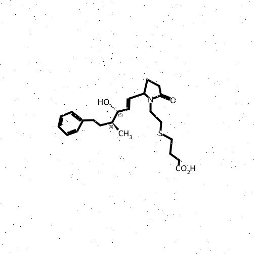 C[C@@H](CCc1ccccc1)[C@H](O)C=CC1CCC(=O)N1CCSCCCC(=O)O